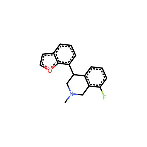 CN1Cc2c(F)cccc2C(c2cccc3ccoc23)C1